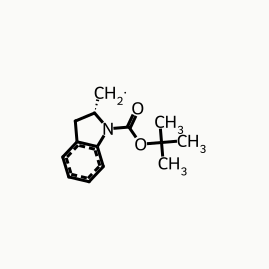 [CH2][C@H]1Cc2ccccc2N1C(=O)OC(C)(C)C